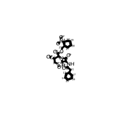 O=C=C1C[S+]([O-])[C@@H]2C(NC(=O)Cc3ccccc3)C(=O)N2C1C(=O)OCc1ccccc1[N+](=O)[O-]